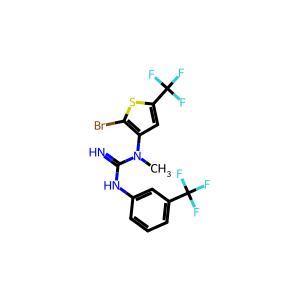 CN(C(=N)Nc1cccc(C(F)(F)F)c1)c1cc(C(F)(F)F)sc1Br